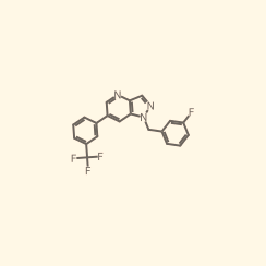 Fc1cccc(Cn2ncc3ncc(-c4cccc(C(F)(F)F)c4)cc32)c1